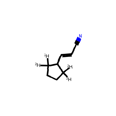 [2H]C1([2H])CCC([2H])([2H])C1C=CC#N